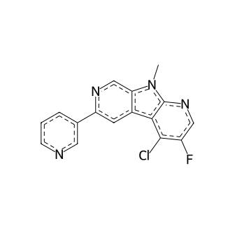 Cn1c2cnc(-c3cccnc3)cc2c2c(Cl)c(F)cnc21